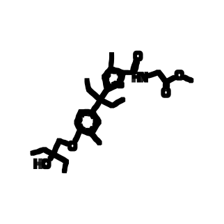 CCC(O)(CC)COc1ccc(C(CC)(CC)c2cc(C)c(C(=O)NCC(=O)OC)s2)cc1C